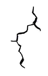 CC=CCC/C(C)=C\CC/C(C)=C\CC